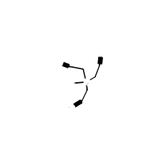 C#CC[Si](Cl)(CC#C)CC#C